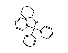 c1ccc(C(NC2CCCCC2)(c2ccccc2)c2ccccc2)cc1